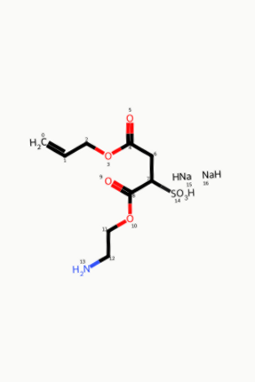 C=CCOC(=O)CC(C(=O)OCCN)S(=O)(=O)O.[NaH].[NaH]